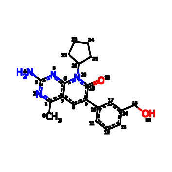 Cc1nc(N)nc2c1cc(-c1cccc(CO)c1)c(=O)n2C1CCCC1